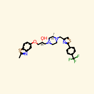 Cc1nc2cc(OC[C@H](O)CN3CCN(Cc4csc(-c5ccc(C(F)(F)F)cc5)n4)[C@@H](C)C3)ccc2s1